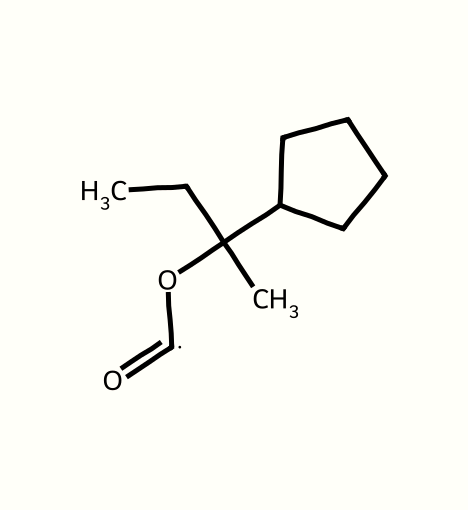 CCC(C)(O[C]=O)C1CCCC1